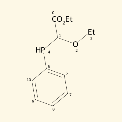 CCOC(=O)C(OCC)Pc1ccccc1